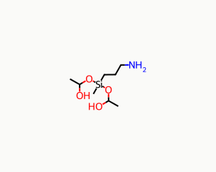 CC(O)O[Si](C)(CCCN)OC(C)O